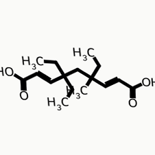 CCC(C)(/C=C/C(=O)O)CC(/C=C/C(=O)O)(CC)CC